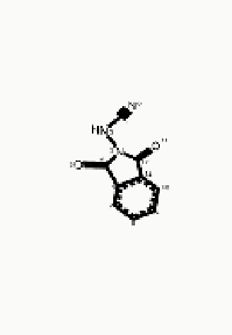 N#CNN1C(=O)c2ccccc2C1=O